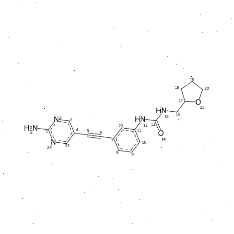 Nc1ncc(C#Cc2cccc(NC(=O)NCC3CCCO3)c2)cn1